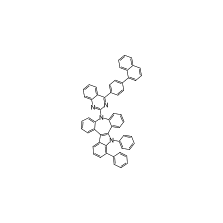 c1ccc(-c2cccc3c4c(n(-c5ccccc5)c23)-c2ccccc2N(c2nc(-c3ccc(-c5cccc6ccccc56)cc3)c3ccccc3n2)c2ccccc2-4)cc1